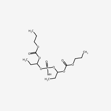 CCCOC(=O)OC(CC)OP([NH])(=O)OC(CC)OC(=O)OCCC